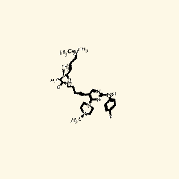 C[C@@H](C(=O)NCCCC#Cc1cnc(Nc2ccc(F)cc2)nc1N1CCN(C)CC1)N(C)C(=O)/C=C/CN(C)C